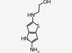 Nc1cc2sc(NCCO)cc2[nH]1